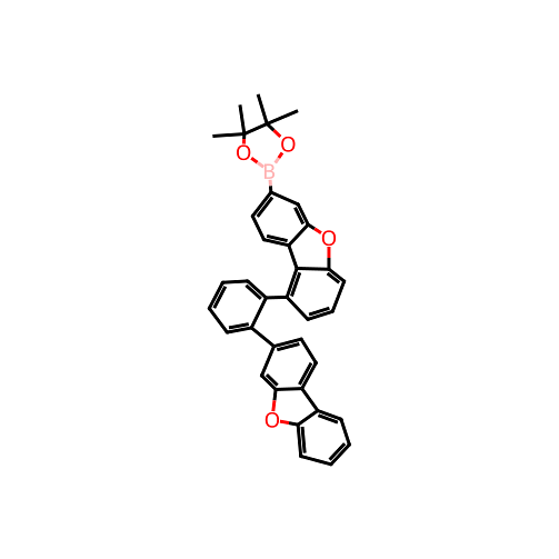 CC1(C)OB(c2ccc3c(c2)oc2cccc(-c4ccccc4-c4ccc5c(c4)oc4ccccc45)c23)OC1(C)C